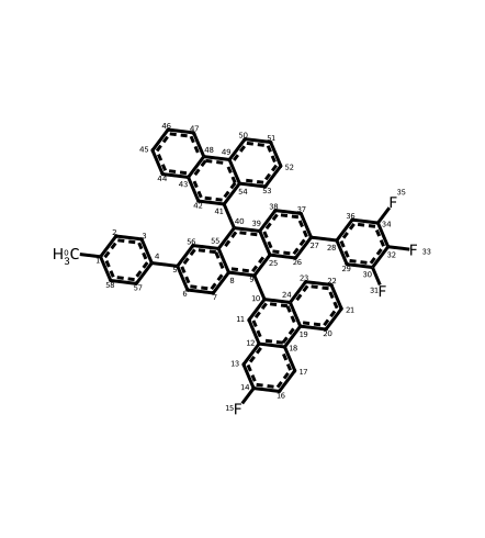 Cc1ccc(-c2ccc3c(-c4cc5cc(F)ccc5c5ccccc45)c4cc(-c5cc(F)c(F)c(F)c5)ccc4c(-c4cc5ccccc5c5ccccc45)c3c2)cc1